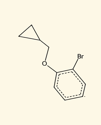 Brc1c[c]ccc1OCC1CC1